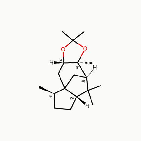 C[C@@H]1CC[C@H]2C(C)(C)[C@H]3CC12C[C@@H]1OC(C)(C)O[C@]13C